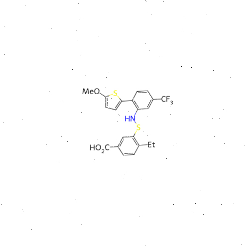 CCc1ccc(C(=O)O)cc1SNc1cc(C(F)(F)F)ccc1-c1ccc(OC)s1